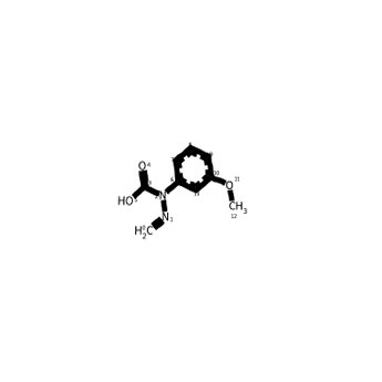 C=NN(C(=O)O)c1cccc(OC)c1